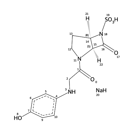 O=C(CNc1ccc(O)cc1)N1CC[C@@H]2[C@H]1C(=O)N2S(=O)(=O)O.[NaH]